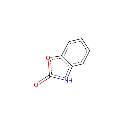 O=c1[nH]c2cc[c]cc2o1